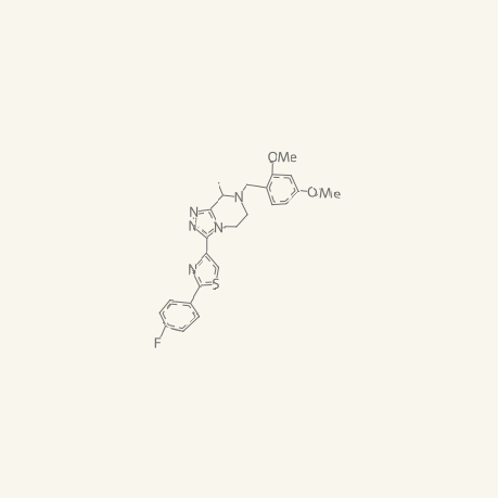 COc1ccc(CN2CCn3c(-c4csc(-c5ccc(F)cc5)n4)nnc3C2C)c(OC)c1